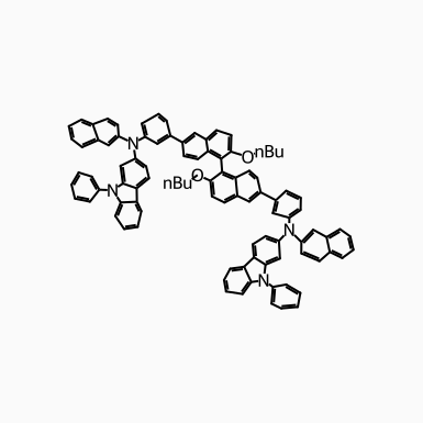 CCCCOc1ccc2cc(-c3cccc(N(c4ccc5ccccc5c4)c4ccc5c6ccccc6n(-c6ccccc6)c5c4)c3)ccc2c1-c1c(OCCCC)ccc2cc(-c3cccc(N(c4ccc5ccccc5c4)c4ccc5c6ccccc6n(-c6ccccc6)c5c4)c3)ccc12